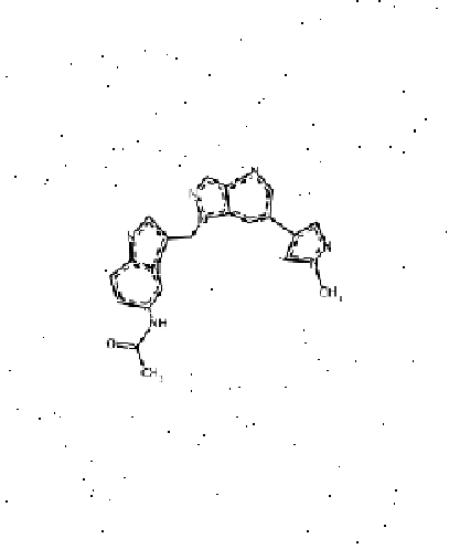 CC(=O)Nc1ccc2ncc(Cn3ncc4ncc(-c5cnn(C)c5)cc43)n2c1